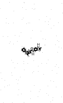 CC(=O)Nc1ccc(NC(=O)c2cc3c(C)nn(-c4ccccc4)c3s2)cc1